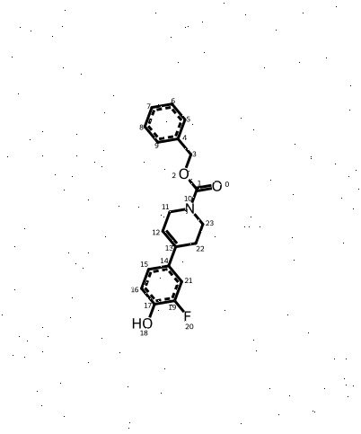 O=C(OCc1ccccc1)N1CC=C(c2ccc(O)c(F)c2)CC1